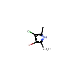 CCOC(=O)c1[nH]c(C)c(Cl)c1Br